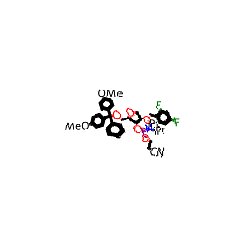 COc1ccc(C(OC[C@H]2OC[C@H](OCc3ccc(F)cc3F)[C@@H]2OP(OCCC#N)N(C(C)C)C(C)C)(c2ccccc2)c2ccc(OC)cc2)cc1